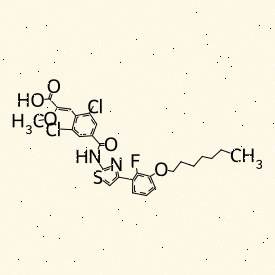 CCCCCCCOc1cccc(-c2csc(NC(=O)c3cc(Cl)c(C=C(OC)C(=O)O)c(Cl)c3)n2)c1F